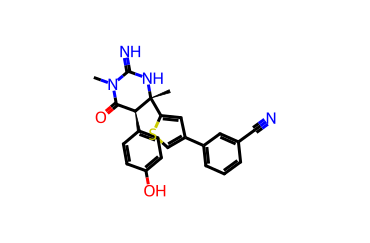 CN1C(=N)N[C@](C)(c2cc(-c3cccc(C#N)c3)cs2)[C@@H](c2ccc(O)cc2)C1=O